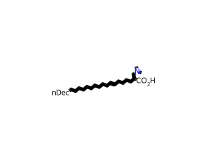 CCCCCCCCCCCCCCCCCCCCC=CCCCCC(CN(C)C)C(=O)O